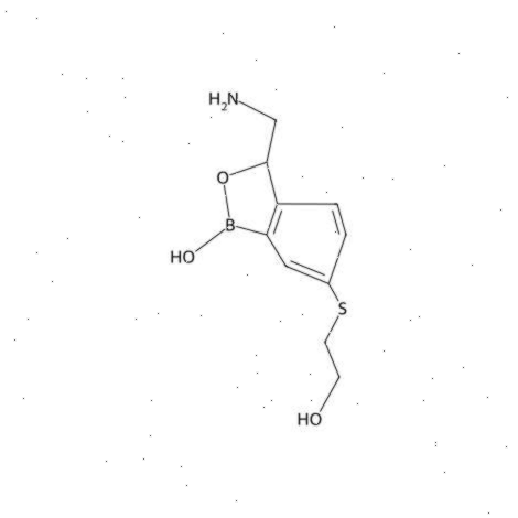 NCC1OB(O)c2cc(SCCO)ccc21